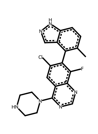 Cc1ccc2[nH]ncc2c1-c1c(Cl)cc2c(N3CCNCC3)ncnc2c1F